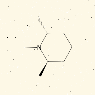 C[C@@H]1CCC[C@@H](C)N1C